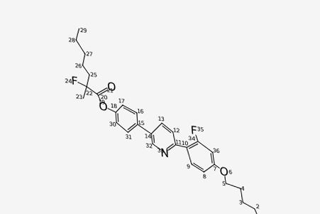 CCCCCCOc1ccc(-c2ccc(-c3ccc(OC(=O)C(C)(F)CCCCC)cc3)cn2)c(F)c1